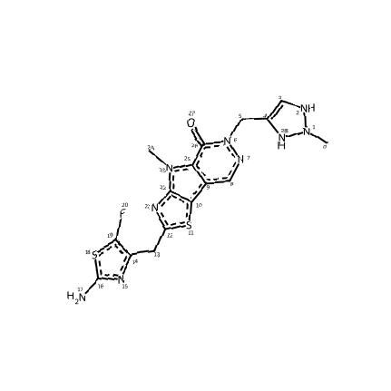 CN1NC=C(Cn2ncc3c4sc(Cc5nc(N)sc5F)nc4n(C)c3c2=O)N1